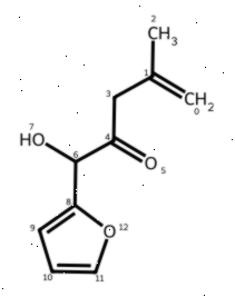 C=C(C)CC(=O)C(O)c1ccco1